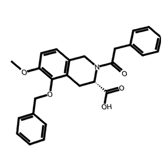 COc1ccc2c(c1OCc1ccccc1)C[C@@H](C(=O)O)N(C(=O)Cc1ccccc1)C2